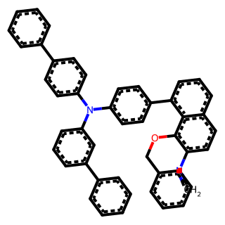 C=Nc1ccc2cccc(-c3ccc(N(c4ccc(-c5ccccc5)cc4)c4cccc(-c5ccccc5)c4)cc3)c2c1OCc1ccccc1